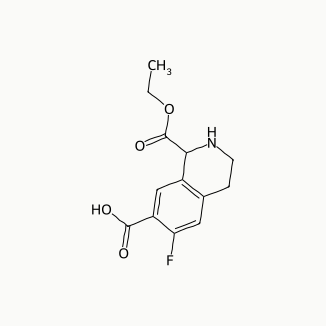 CCOC(=O)C1NCCc2cc(F)c(C(=O)O)cc21